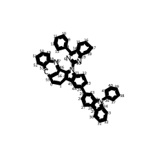 C1=Cc2c(n(-c3nc(-c4ccccc4)c4ccccc4n3)c3ccc(-c4ccc5c6ccccc6n(-c6ccccc6)c5c4)cc23)C2=Nc3ccccc3CC1=C2